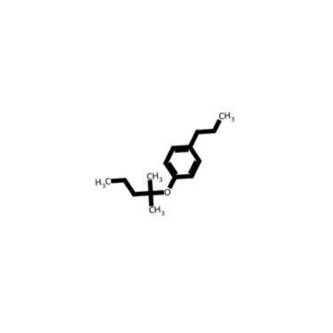 CCCc1ccc(OC(C)(C)CCC)cc1